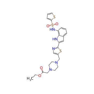 CCOC(=O)CN1CCN(Cc2cnc(-c3cc4cccc(NS(=O)(=O)c5cccs5)c4[nH]3)s2)CC1